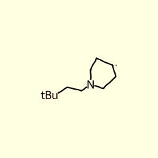 CC(C)(C)CCN1CC[CH]CC1